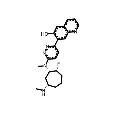 CN[C@H]1CCC[C@@H](F)[C@@H](N(C)c2ccc(-c3cc4ncccc4cc3O)nn2)C1